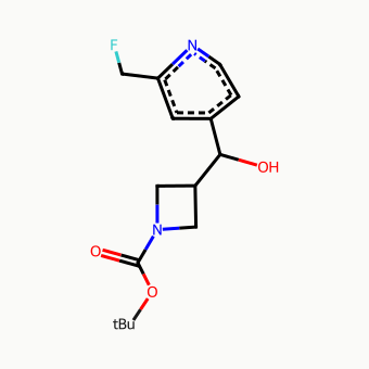 CC(C)(C)OC(=O)N1CC(C(O)c2ccnc(CF)c2)C1